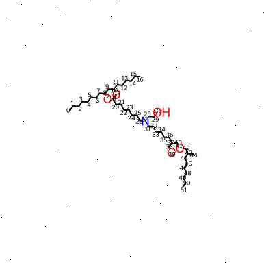 CCCCCCCCC(CCCCCCCC)OC(=O)CCCCCCCN(CCO)CCCCCCC(C=O)COCC(C)CCCCCCC